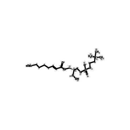 CCCCCCCCCCCCCCC=CC(=O)OC[C@H](COP(=O)([O-])OCC[N+](C)(C)C)OO